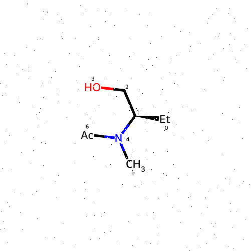 CC[C@H](CO)N(C)C(C)=O